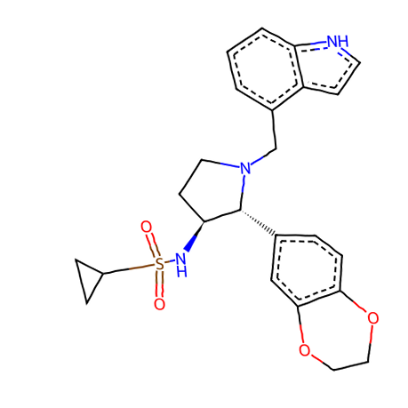 O=S(=O)(N[C@H]1CCN(Cc2cccc3[nH]ccc23)[C@@H]1c1ccc2c(c1)OCCO2)C1CC1